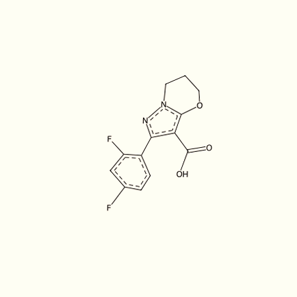 O=C(O)c1c(-c2ccc(F)cc2F)nn2c1OCCC2